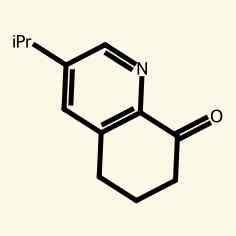 CC(C)c1cnc2c(c1)CCCC2=O